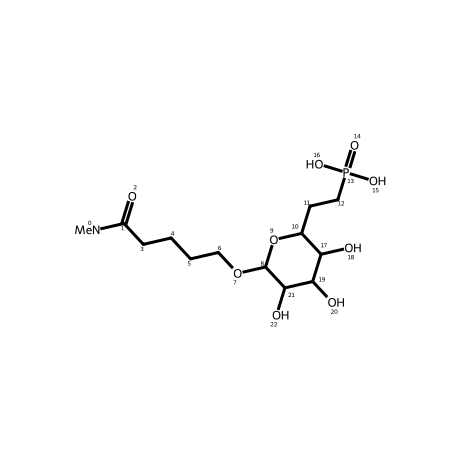 CNC(=O)CCCCOC1OC(CCP(=O)(O)O)C(O)C(O)C1O